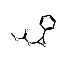 COC(=O)OC1OC1c1ccccc1